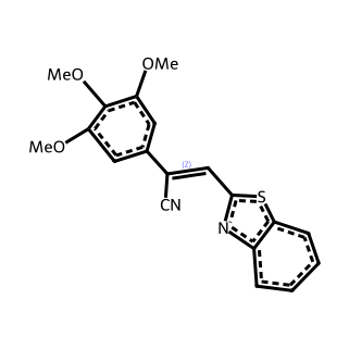 COc1cc(/C(C#N)=C/c2nc3ccccc3s2)cc(OC)c1OC